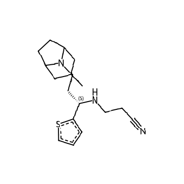 CC1CC2CCC(C1)N2CC[C@H](NCCC#N)c1cccs1